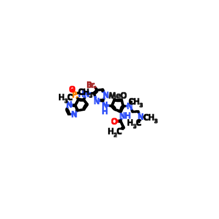 C=CC(=O)Nc1cc(Nc2ncc(Br)c(Nc3ccc4nccnc4c3P(C)(C)=O)n2)c(OC)cc1N(C)CCN(C)C